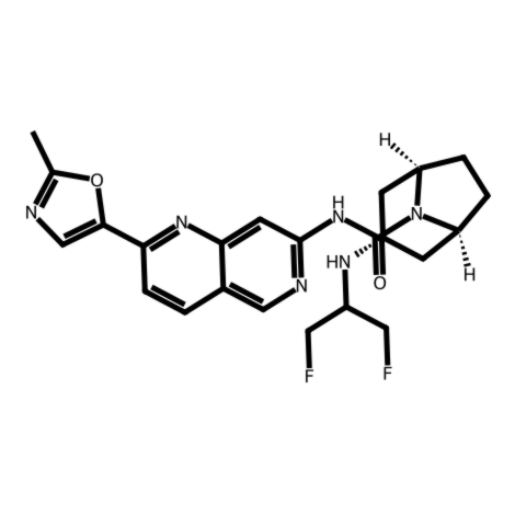 Cc1ncc(-c2ccc3cnc(NC(=O)N4[C@@H]5CC[C@H]4C[C@H](NC(CF)CF)C5)cc3n2)o1